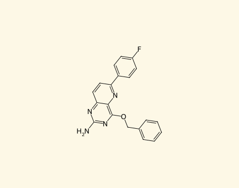 Nc1nc(OCc2ccccc2)c2nc(-c3ccc(F)cc3)ccc2n1